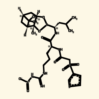 CC(C)C[C@H](NC(=O)[C@H](CCCNC(=N)N[N+](=O)[O-])NC(=O)CS(=O)(=O)c1ccsc1)B1O[C@@H]2C[C@@H]3C[C@@H](C3(C)C)[C@]2(C)O1